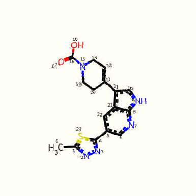 Cc1nnc(-c2cnc3[nH]cc(C4=CCN(C(=O)O)CC4)c3c2)s1